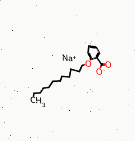 CCCCCCCCCCCCOc1ccccc1C(=O)[O-].[Na+]